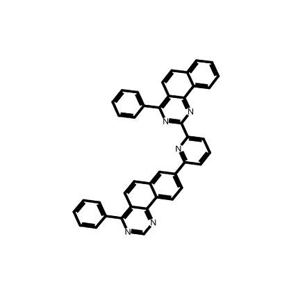 c1ccc(-c2ncnc3c2ccc2cc(-c4cccc(-c5nc(-c6ccccc6)c6ccc7ccccc7c6n5)n4)ccc23)cc1